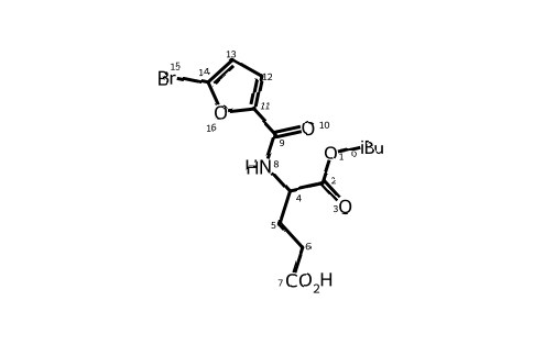 CCC(C)OC(=O)C(CCC(=O)O)NC(=O)c1ccc(Br)o1